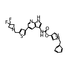 O=C(Nc1c[nH]c2ncc(-c3csc(CN4CC(F)(F)C4)c3)cc12)Oc1cnn(Cc2ccccc2)c1